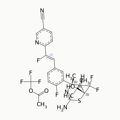 CC(=O)OC(F)(F)F.CC(C)(O)[C@@]12SC(N)=N[C@](C)(c3cc(/C=C(\F)c4ccc(C#N)cn4)ccc3F)[C@@H]1C2(F)F